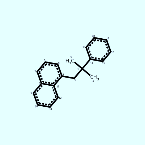 CC(C)(Cc1cccc2ccccc12)c1ccccc1